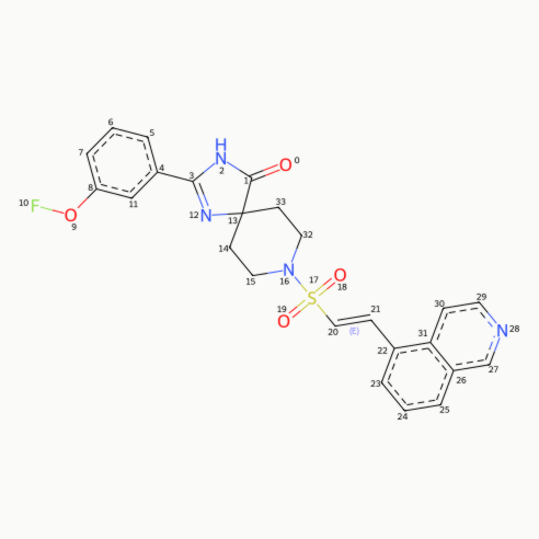 O=C1NC(c2cccc(OF)c2)=NC12CCN(S(=O)(=O)/C=C/c1cccc3cnccc13)CC2